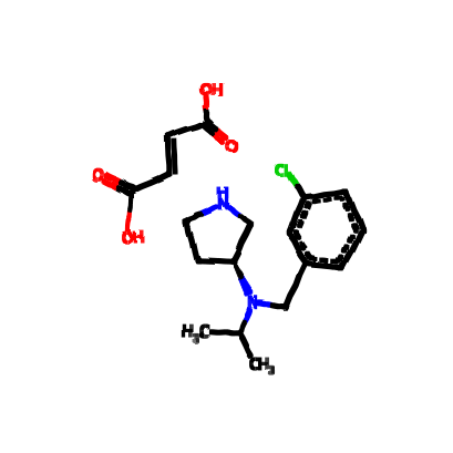 CC(C)N(Cc1cccc(Cl)c1)[C@H]1CCNC1.O=C(O)C=CC(=O)O